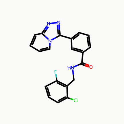 O=C(NCc1c(F)cccc1Cl)c1cccc(-c2nnc3ccccn23)c1